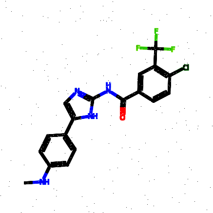 CNc1ccc(-c2cnc(NC(=O)c3ccc(Cl)c(C(F)(F)F)c3)[nH]2)cc1